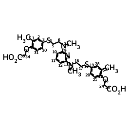 Cc1cc(SCCN(C)c2cccc(N(C)CCSc3ccc(OCC(=O)O)c(C)c3)n2)ccc1OCC(=O)O